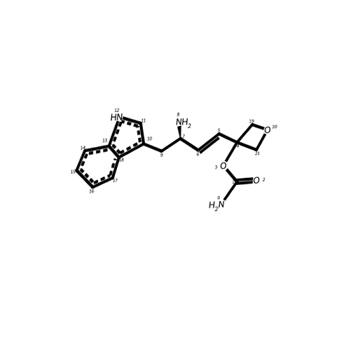 NC(=O)OC1(/C=C/[C@H](N)Cc2c[nH]c3ccccc23)COC1